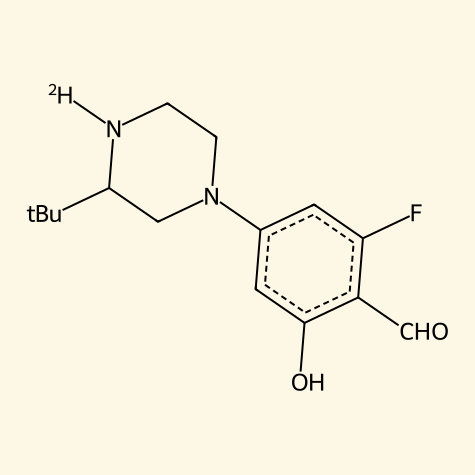 [2H]N1CCN(c2cc(O)c(C=O)c(F)c2)CC1C(C)(C)C